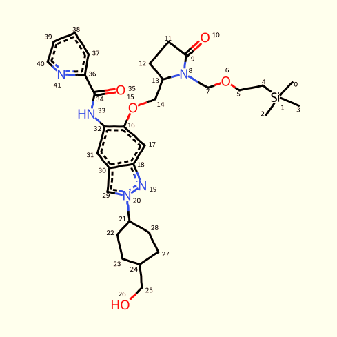 C[Si](C)(C)CCOCN1C(=O)CCC1COc1cc2nn(C3CCC(CO)CC3)cc2cc1NC(=O)c1ccccn1